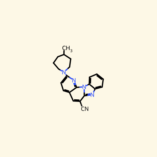 CC1CCCN(c2ccc3cc(C#N)c4nc5ccccc5n4c3n2)CC1